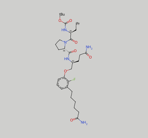 CC(C)C[C@H](NC(=O)OC(C)(C)C)C(=O)N1CCC[C@H]1C(=O)N[C@@H](CCC(N)=O)COc1cccc(CCCCCC(N)=O)c1F